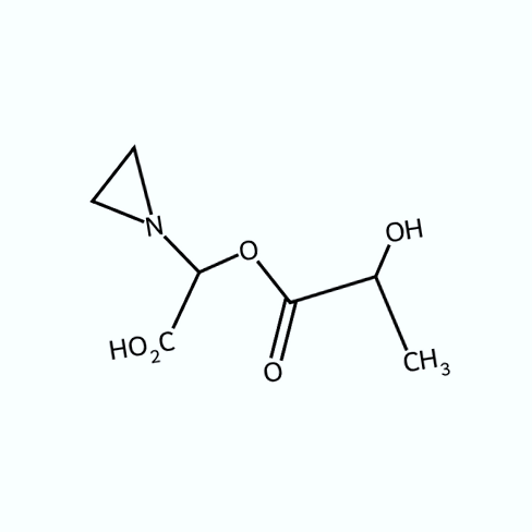 CC(O)C(=O)OC(C(=O)O)N1CC1